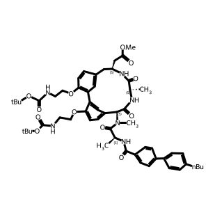 CCCCc1ccc(-c2ccc(C(=O)N[C@@H](C)C(=O)N(C)[C@@H]3C(=O)N[C@@H](C)C(=O)N[C@H](CC(=O)OC)Cc4ccc(OCCNC(=O)OC(C)(C)C)c(c4)-c4cc3ccc4OCCNC(=O)OC(C)(C)C)cc2)cc1